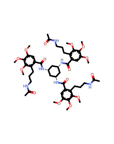 COc1cc(C(=O)N[C@H]2C[C@@H](NC(=O)c3cc(OC)c(OC)c(OC)c3CCCNC(C)=O)C[C@@H](NC(=O)c3cc(OC)c(OC)c(OC)c3CCCNC(C)=O)C2)c(CCCNC(C)=O)c(OC)c1OC